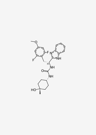 COc1cc(F)c(C[C@@H](NC(=O)N[C@H]2CC[C@@](C)(O)CC2)c2nc3ccccc3[nH]2)c(F)c1